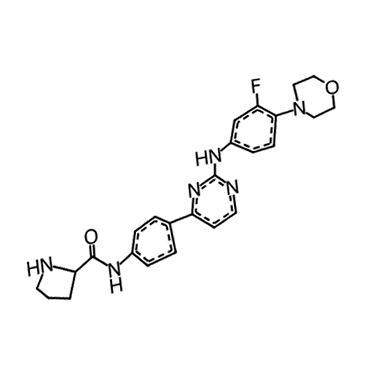 O=C(Nc1ccc(-c2ccnc(Nc3ccc(N4CCOCC4)c(F)c3)n2)cc1)C1CCCN1